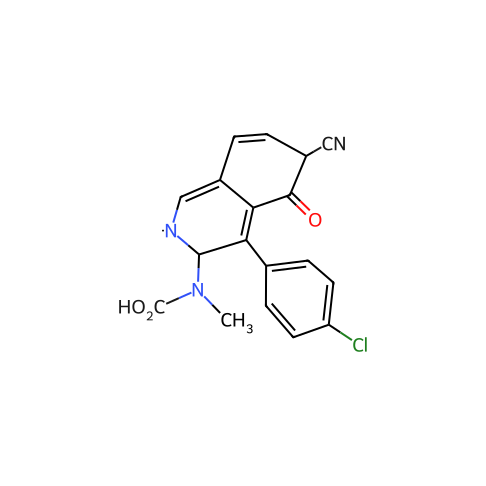 CN(C(=O)O)C1[N]C=C2C=CC(C#N)C(=O)C2=C1c1ccc(Cl)cc1